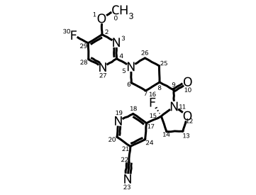 COc1nc(N2CCC(C(=O)N3OCC[C@@]3(F)c3cncc(C#N)c3)CC2)ncc1F